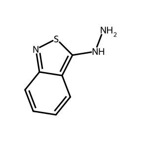 NNc1snc2ccccc12